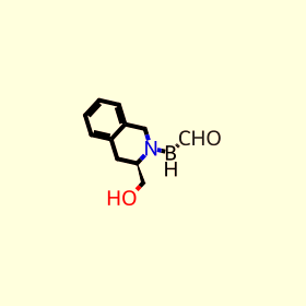 O=CBN1Cc2ccccc2C[C@@H]1CO